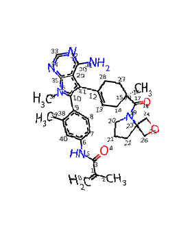 C=C(C)C(=O)Nc1ccc(-c2c(C3=CC[C@](C)(C(=O)N4CCCC45COC5)CC3)c3c(N)ncnc3n2C)c(C)c1